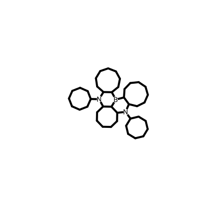 C1CCCC(N2C3CCCCCCCC3B3C4CCCCCCCC4N(C4CCCCCCC4)C4CCCCCC2C34)CCC1